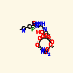 CC[C@@H]1COC(=O)N(N)C(C)[C@@H](C)C(=O)[C@H](C)C[C@@](C)(OC)[C@H](O[C@@H]2O[C@H](C)C[C@H](N(C)CCC3=CN([C@H](CF)[C@H](OC)c4ccc(-c5ccc(C)nc5)cc4)NN3)[C@H]2O)[C@@H](C)C(=O)[C@@H](C)C(=O)O1